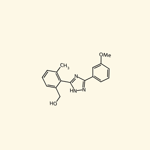 COc1cccc(-c2n[nH]c(-c3c(C)cccc3CO)n2)c1